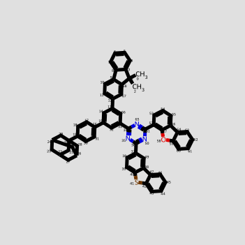 CC1(C)c2ccccc2-c2ccc(-c3cc(-c4ccc(C56CC7CC(CC(C7)C5)C6)cc4)cc(-c4nc(-c5ccc6sc7ccccc7c6c5)nc(-c5cccc6c5oc5ccccc56)n4)c3)cc21